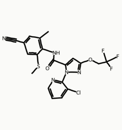 CSc1cc(C#N)cc(C)c1NC(=O)c1cc(OCC(F)(F)F)nn1-c1ncccc1Cl